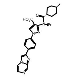 CC(C)N(c1nn(-c2ccc(-c3cn4ccncc4n3)cc2)cc1C(=O)O)C(=O)[C@H]1CC[C@H](C)CC1